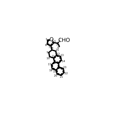 CC(C=O)c1occc1C1CCc2c(ccc3c2ccc2ccccc23)C1